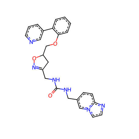 O=C(NCC1=NOC(COc2ccccc2-c2cccnc2)C1)NCc1ccc2nccn2c1